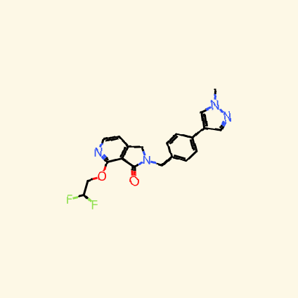 Cn1cc(-c2ccc(CN3Cc4ccnc(OCC(F)F)c4C3=O)cc2)cn1